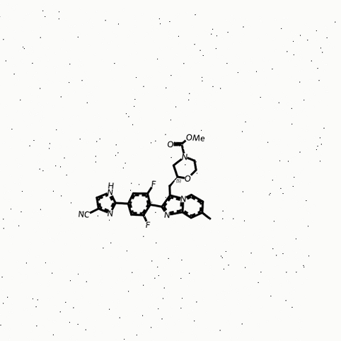 COC(=O)N1CCO[C@@H](Cc2c(-c3c(F)cc(-c4nc(C#N)c[nH]4)cc3F)nc3cc(C)ccn23)C1